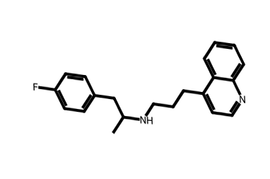 CC(Cc1ccc(F)cc1)NCCCc1ccnc2ccccc12